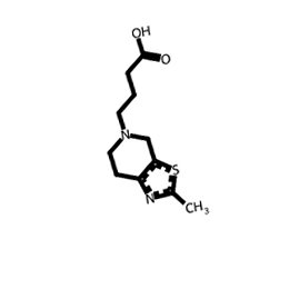 Cc1nc2c(s1)CN(CCCC(=O)O)CC2